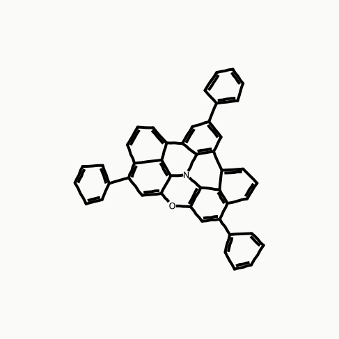 c1ccc(-c2cc3c4cccc5c(-c6ccccc6)cc6oc7cc(-c8ccccc8)c8cccc9c(c2)c3n(c6c54)c7c89)cc1